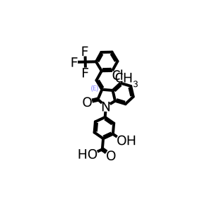 Cc1cccc2c1/C(=C\c1c(Cl)cccc1C(F)(F)F)C(=O)N2c1ccc(C(=O)O)c(O)c1